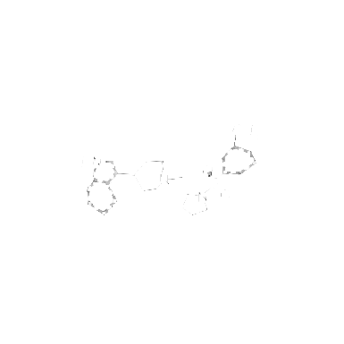 Cc1cccc(S(=O)(=O)N2CCC[C@@H]2CN2CCC(c3c[nH]c4ccccc34)CC2)c1